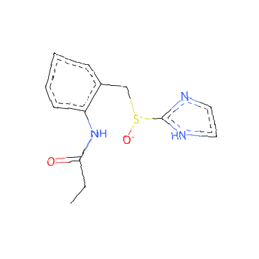 CCC(=O)Nc1ccccc1C[S+]([O-])c1ncc[nH]1